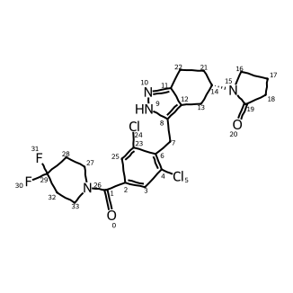 O=C(c1cc(Cl)c(Cc2[nH]nc3c2C[C@@H](N2CCCC2=O)CC3)c(Cl)c1)N1CCC(F)(F)CC1